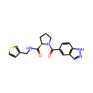 O=C(NCc1ccsc1)[C@H]1CCCN1C(=O)c1ccc2[nH]ncc2c1